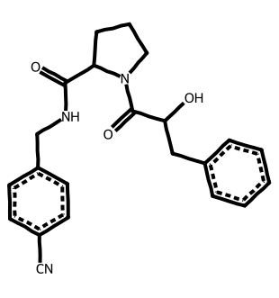 N#Cc1ccc(CNC(=O)C2CCCN2C(=O)C(O)Cc2ccccc2)cc1